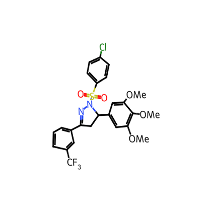 COc1cc(C2CC(c3cccc(C(F)(F)F)c3)=NN2S(=O)(=O)c2ccc(Cl)cc2)cc(OC)c1OC